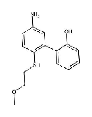 COCCNc1ccc(N)cc1-c1ccccc1O